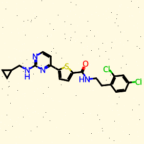 O=C(NCCc1ccc(Cl)cc1Cl)c1ccc(-c2ccnc(NCC3CC3)n2)s1